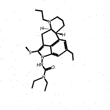 CCCN1CCC[C@@H]2c3cc(CC)cc4c3c(c(SC)n4NC(=O)N(CC)CC)C[C@H]21